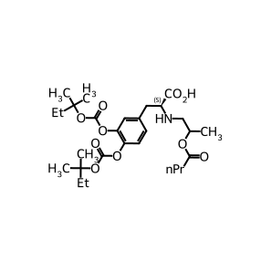 CCCC(=O)OC(C)CN[C@@H](Cc1ccc(OC(=O)OC(C)(C)CC)c(OC(=O)OC(C)(C)CC)c1)C(=O)O